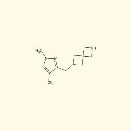 Cn1cc(C(F)(F)F)c(CC2CC3(CNC3)C2)n1